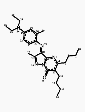 CCCCc1nc2n(c(=O)c1CCCC)N=C(C)C2=Nc1ccc(N(CC)CC)cc1C